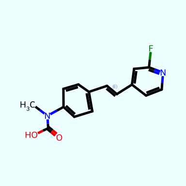 CN(C(=O)O)c1ccc(/C=C/c2ccnc(F)c2)cc1